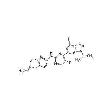 CCN1CCc2nc(Nc3ncc(F)c(-c4cc(F)c5cnn(C(C)C)c5c4)n3)ccc2C1